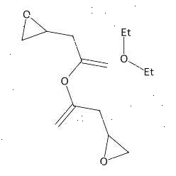 C=C(CC1CO1)OC(=C)CC1CO1.CCOCC